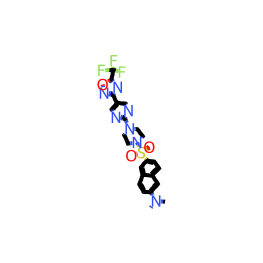 CN(C)c1ccc2cc(S(=O)(=O)N3CCN(c4ncc(-c5noc(C(F)(F)F)n5)cn4)CC3)ccc2c1